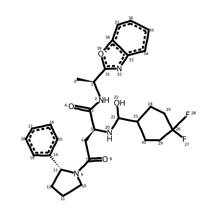 C[C@H](NC(=O)[C@H](CC(=O)N1CCC[C@@H]1c1ccccc1)NC(O)C1CCC(F)(F)CC1)c1nc2ccccc2o1